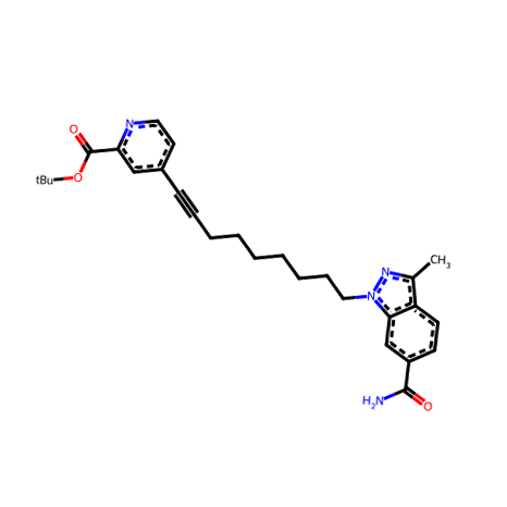 Cc1nn(CCCCCCCC#Cc2ccnc(C(=O)OC(C)(C)C)c2)c2cc(C(N)=O)ccc12